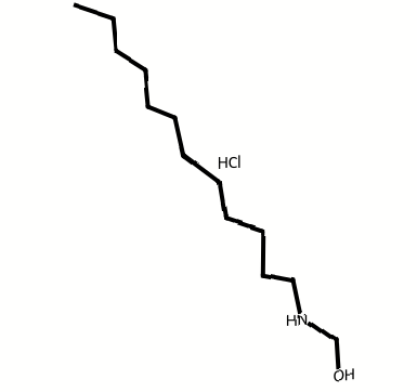 CCCCCCCCCCCCNCO.Cl